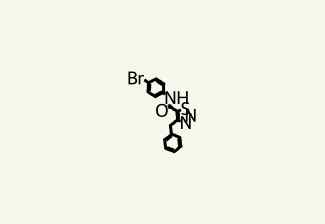 O=C(Nc1ccc(Br)cc1)c1snnc1Cc1ccccc1